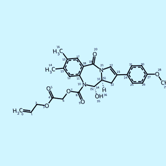 C=CCOC(=O)COC(=O)N1c2cc(C)c(C)cc2C(=O)N2C=C(c3ccc(OC)cc3)C[C@H]2[C@@H]1O